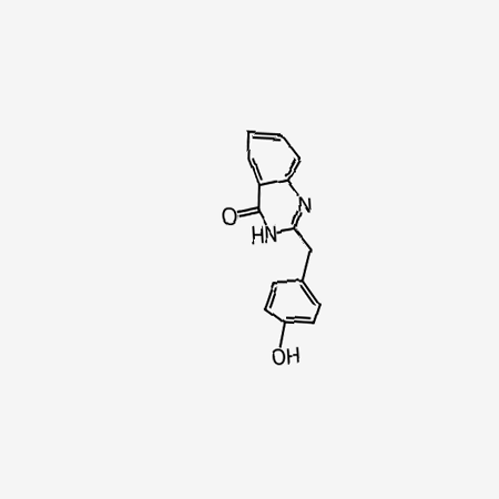 O=c1[nH]c(Cc2ccc(O)cc2)nc2ccccc12